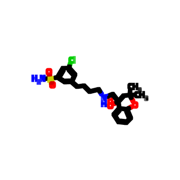 CC1(C)CC(O)(CNCCCCc2cc(Cl)cc(S(N)(=O)=O)c2)c2ccccc2O1